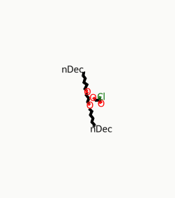 CCCCCCCCCCCCCCCCOCC(COCCCCCCCCCCCCCCCC)OCC(=O)Cl